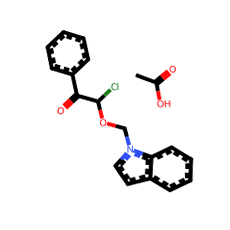 CC(=O)O.O=C(c1ccccc1)C(Cl)OCn1ccc2ccccc21